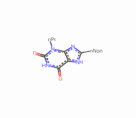 CCCCCCCCCc1nc2c([nH]1)c(=O)[nH]c(=O)n2CCC